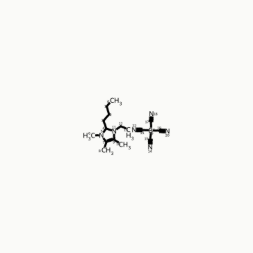 CCCCC1N(C)C(C)=C(C)N1CC.N#C[B-](C#N)(C#N)C#N